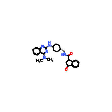 CN(C)c1nc(N[C@H]2CC[C@@H](CNC(=O)C3CC(=O)c4ccccc43)CC2)nc2ccccc12